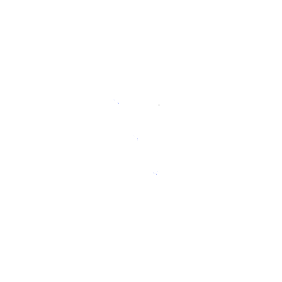 CCCN(C)CCCN(CCCN(C)CCC)CCC[Si](CC)(OC)OC